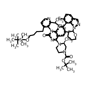 CC(C)c1nccc(CCCCO[Si](C)(C)C(C)(C)C)c1-n1c(=O)nc(N2CCN(C(=O)OC(C)(C)C)C[C@@H]2C)c2cc(F)c(-c3c(F)ccc4cnn(C5CCCCO5)c34)nc21